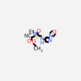 C=CCOC(=O)C(C#N)=c1sc(=CNc2ccnc(N3CCOCC3)c2)c(=O)n1CC